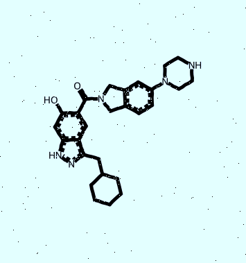 O=C(c1cc2c(CC3CCCCC3)n[nH]c2cc1O)N1Cc2ccc(N3CCNCC3)cc2C1